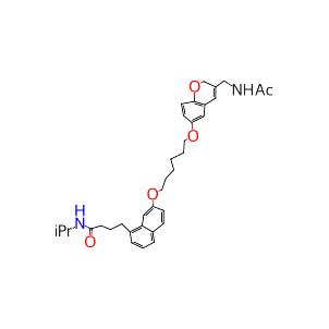 CC(=O)NCC1=Cc2cc(OCCCCCCOc3ccc4cccc(CCCC(=O)NC(C)C)c4c3)ccc2OC1